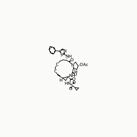 CC(=O)O[C@@H]1C[C@H]2C(=O)N[C@]3(C(=O)NS(=O)(=O)C4CC4)C[C@H]3C=CCCCCC[C@H](Nc3ncc(-c4ccccc4)s3)C(=O)N2C1